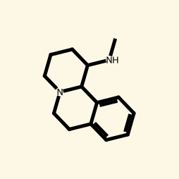 CNC1CCCN2CCc3ccccc3C12